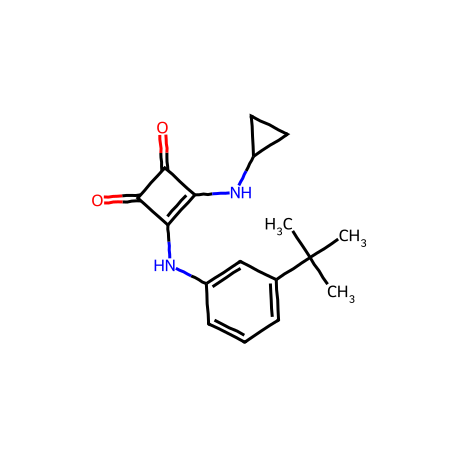 CC(C)(C)c1cccc(Nc2c(NC3CC3)c(=O)c2=O)c1